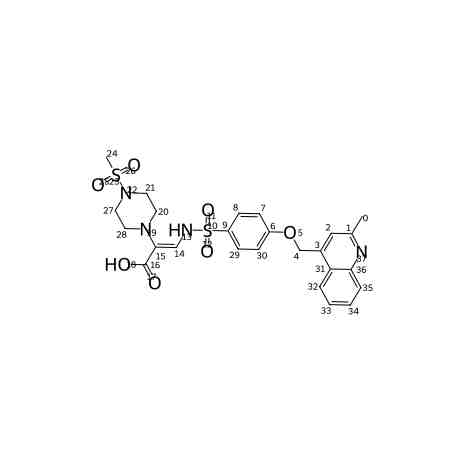 Cc1cc(COc2ccc(S(=O)(=O)NC=C(C(=O)O)N3CCN(S(C)(=O)=O)CC3)cc2)c2ccccc2n1